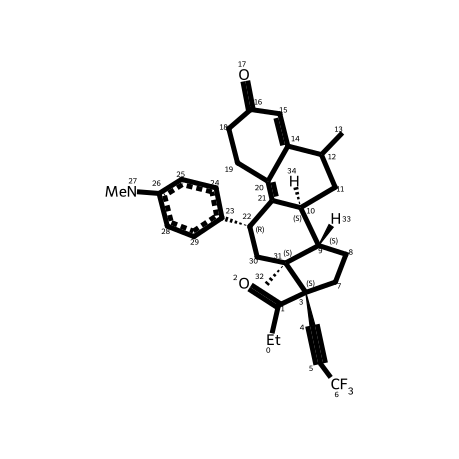 CCC(=O)[C@@]1(C#CC(F)(F)F)CC[C@H]2[C@@H]3CC(C)C4=CC(=O)CCC4=C3[C@@H](c3ccc(NC)cc3)C[C@@]21C